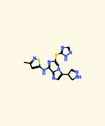 Cc1cc(Nc2nc(Sc3ncn[nH]3)cn3c(C4C=NNC4)cnc23)sn1